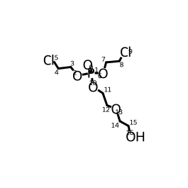 O=P(OCCCl)(OCCCl)OCCOCCO